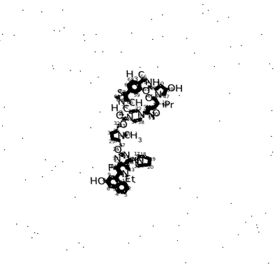 CCc1cccc2cc(O)cc(-c3ncc4c(N5CC6CCC(C5)N6)nc(OC[C@@H]5CC[C@@H](COC(=O)N6CCN(c7cc([C@H](C(=O)N8C[C@H](O)C[C@H]8C(=O)N[C@@H](C)c8ccc(-c9scnc9C)cc8)C(C)C)on7)C[C@@H]6C)N5C)nc4c3F)c12